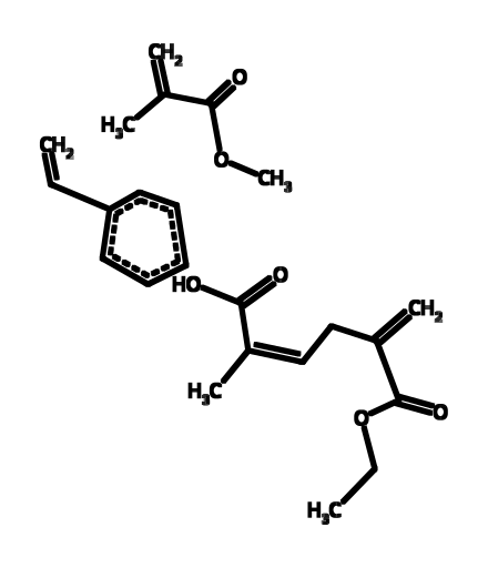 C=C(C)C(=O)OC.C=C(CC=C(C)C(=O)O)C(=O)OCC.C=Cc1ccccc1